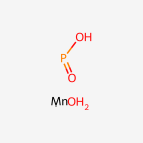 O.O=PO.[Mn]